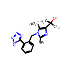 CCCc1nc(C(C)(C)O)c(C(=O)O)n1Cc1ccccc1-c1nnn[nH]1